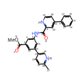 COC(=O)c1cc(NC(=O)c2cc(-c3ccccc3)ccn2)cc(-c2ccc(C)nc2)c1